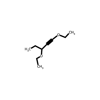 CCOC#CC(CC)OCC